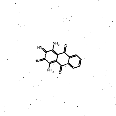 N=c1c(N)c2c(=O)c3ccccc3c(=O)c-2c(N)c1=N